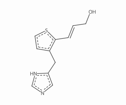 OC/C=C/c1sccc1Cc1cnc[nH]1